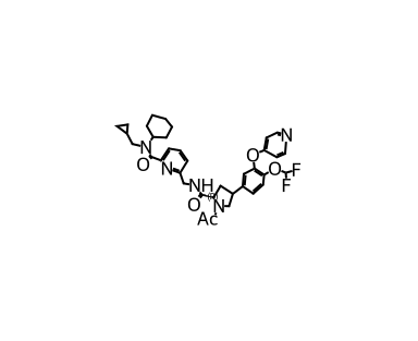 CC(=O)N1CC(c2ccc(OC(F)F)c(Oc3ccncc3)c2)C[C@@H]1C(=O)NCc1cccc(C(=O)N(CC2CC2)C2CCCCC2)n1